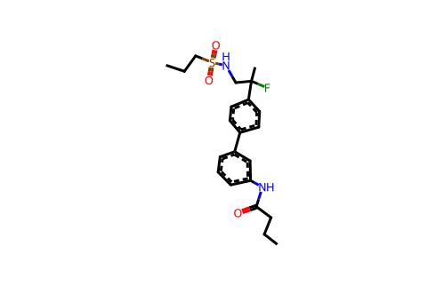 CCCC(=O)Nc1cccc(-c2ccc(C(C)(F)CNS(=O)(=O)CCC)cc2)c1